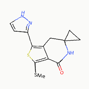 CSc1sc(-c2cc[nH]n2)c2c1C(=O)NC1(CC1)C2